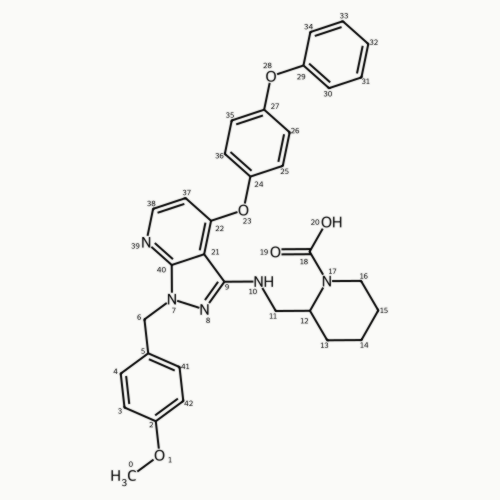 COc1ccc(Cn2nc(NCC3CCCCN3C(=O)O)c3c(Oc4ccc(Oc5ccccc5)cc4)ccnc32)cc1